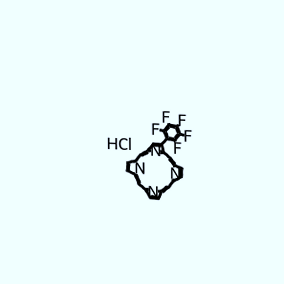 Cl.Fc1c(F)c(F)c(C2=CC3=CC4=NC(=CC5=NC(=CC6=NC(=CC2=N3)C=C6)C=C5)C=C4)c(F)c1F